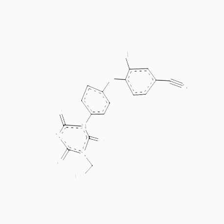 CCn1c(=O)[nH]c(=O)n(-c2ccc(Sc3ccc(C#N)cc3Cl)cc2)c1=O